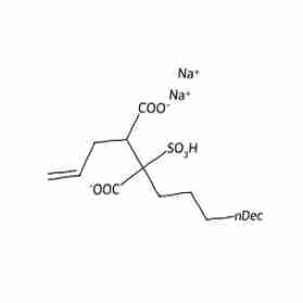 C=CCC(C(=O)[O-])C(CCCCCCCCCCCCC)(C(=O)[O-])S(=O)(=O)O.[Na+].[Na+]